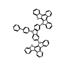 c1ccc(-c2ccc(-n3c4ccc(-n5c6ccccc6c6c7ccccc7c7c8ccccc8sc7c65)cc4c4cc(-n5c6ccccc6c6c7ccccc7c7c8ccccc8sc7c65)ccc43)cc2)cc1